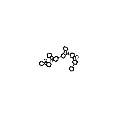 c1ccc(-c2ccc3oc4ccc(-n5c6ccccc6c6cc(-c7ccc8c(c7)c7ccccc7n8-c7cccc8c7oc7ccccc78)ccc65)cc4c3c2)cc1